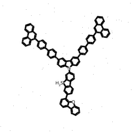 c1ccc2c(c1)cc(-c1ccc(-c3ccc(-c4ccc5c(c4)c4cc(-c6ccc(-c7ccc(-c8cc9ccccc9c9ccccc89)cc7)cc6)ccc4n5-c4ccc5c(c4)[SiH2]c4cc(-c6cccc7c6oc6ccccc67)ccc4-5)cc3)cc1)c1ccccc12